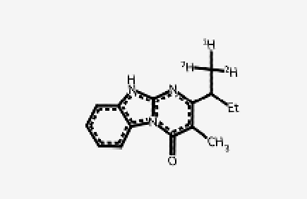 [2H]C([2H])([2H])C(CC)c1nc2[nH]c3ccccc3n2c(=O)c1C